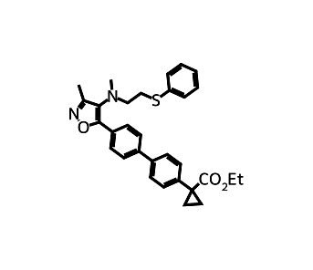 CCOC(=O)C1(c2ccc(-c3ccc(-c4onc(C)c4N(C)CCSc4ccccc4)cc3)cc2)CC1